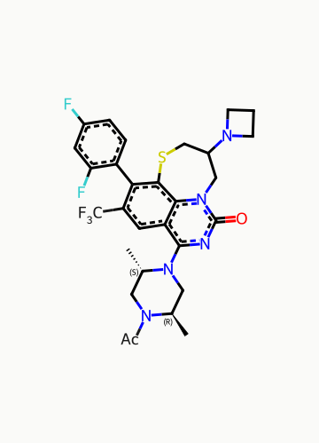 CC(=O)N1C[C@H](C)N(c2nc(=O)n3c4c(c(-c5ccc(F)cc5F)c(C(F)(F)F)cc24)SCC(N2CCC2)C3)C[C@H]1C